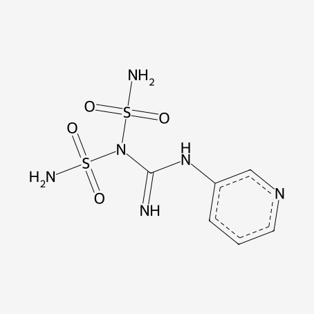 N=C(Nc1cccnc1)N(S(N)(=O)=O)S(N)(=O)=O